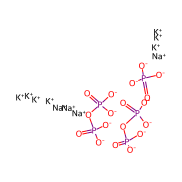 O=P([O-])([O-])OP(=O)([O-])[O-].O=P([O-])([O-])OP(=O)([O-])[O-].O=P([O-])([O-])[O-].[K+].[K+].[K+].[K+].[K+].[K+].[K+].[Na+].[Na+].[Na+].[Na+]